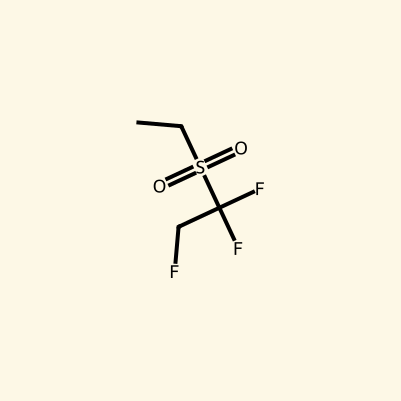 CCS(=O)(=O)C(F)(F)CF